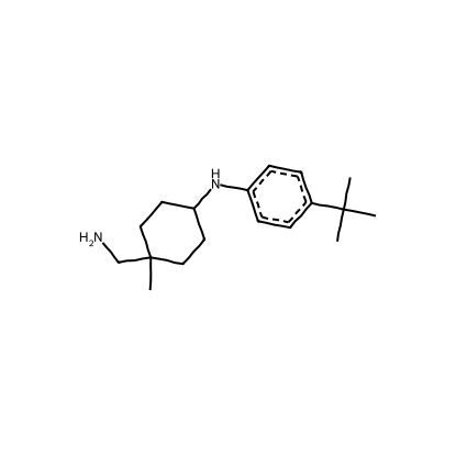 CC1(CN)CCC(Nc2ccc(C(C)(C)C)cc2)CC1